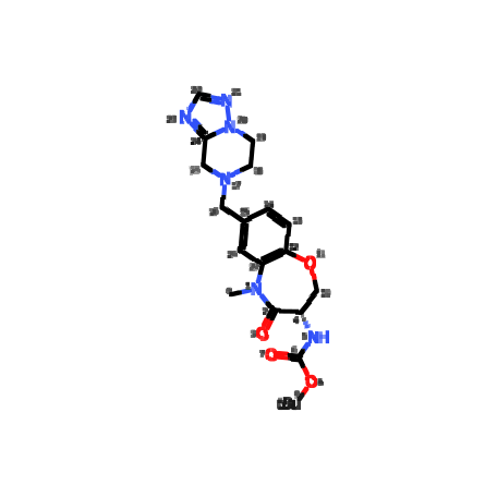 CN1C(=O)[C@@H](NC(=O)OC(C)(C)C)COc2ccc(CN3CCn4ncnc4C3)cc21